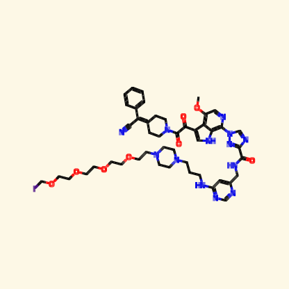 COc1cnc(-n2cnc(C(=O)NCc3cc(NCCCN4CCN(CCOCCOCCOCCOCI)CC4)ncn3)n2)c2[nH]cc(C(=O)C(=O)N3CCC(=C(C#N)c4ccccc4)CC3)c12